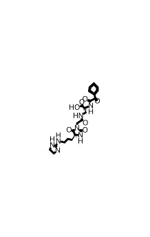 O=C(CN1C(=O)N[C@@H](CCCNC2=NCCN2)C1=O)NC[C@H](NC(=O)C(=O)c1ccccc1)C(=O)O